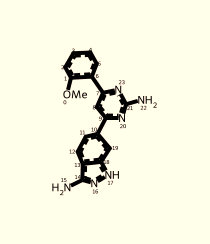 COc1ccccc1-c1cc(-c2ccc3c(N)n[nH]c3c2)nc(N)n1